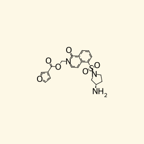 N[C@@H]1CCN(S(=O)(=O)c2cccc3c(=O)n(COC(=O)c4ccoc4)ccc23)C1